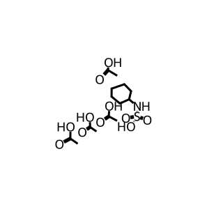 CC(=O)O.CC(=O)O.CC(=O)O.CC(=O)O.O=S(=O)(O)NC1CCCCC1